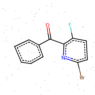 O=C(c1ccccc1)c1nc(Br)ccc1F